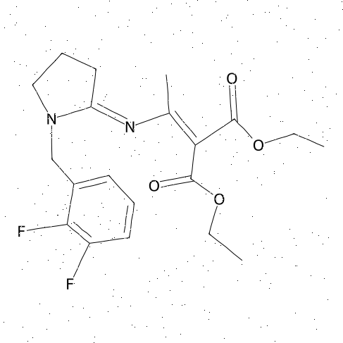 CCOC(=O)C(C(=O)OCC)=C(C)N=C1CCCN1Cc1cccc(F)c1F